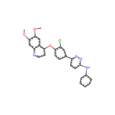 COc1cc2nccc(Oc3ccc(-c4ccc(Nc5ccccc5)nn4)cc3Cl)c2cc1OC